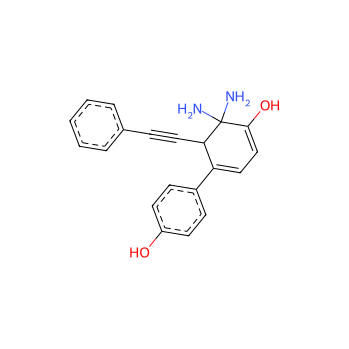 NC1(N)C(O)=CC=C(c2ccc(O)cc2)C1C#Cc1ccccc1